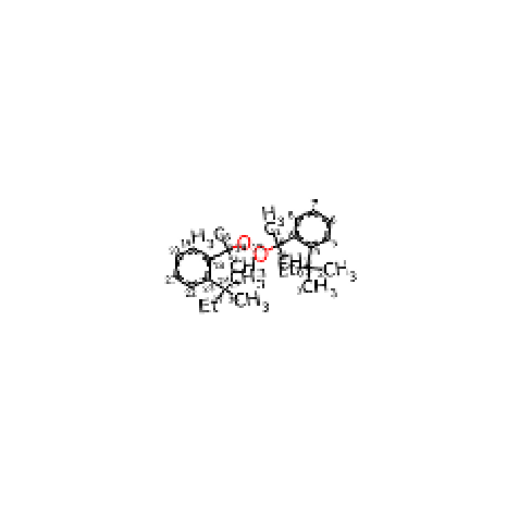 CCC(C)(C)c1ccccc1C(C)(C)OOC(C)(C)c1ccccc1C(C)(C)CC